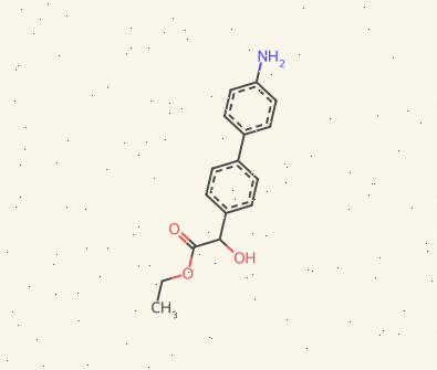 CCOC(=O)C(O)c1ccc(-c2ccc(N)cc2)cc1